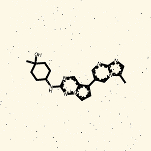 Cc1cnc2ncc(-c3ccn4nc(NC5CCC(C)(O)CC5)ncc34)cn12